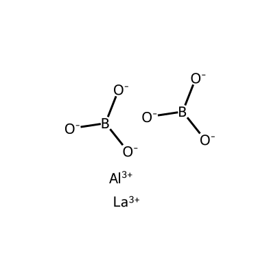 [Al+3].[La+3].[O-]B([O-])[O-].[O-]B([O-])[O-]